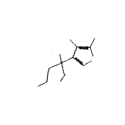 CCCC(C)(CC)c1csc(F)c1Cl